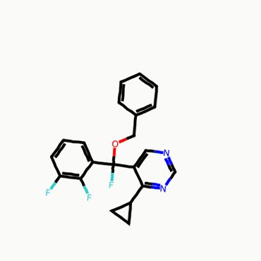 Fc1cccc(C(F)(OCc2ccccc2)c2cncnc2C2CC2)c1F